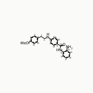 COc1ccc(CCNc2ccc(C(=O)Nc3ccccc3N)cn2)cc1